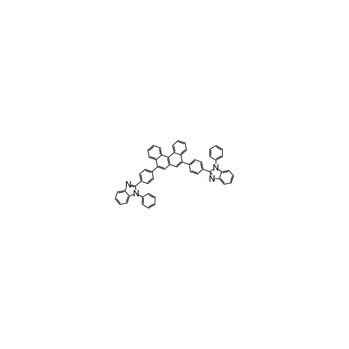 c1ccc(-n2c(-c3ccc(-c4cc5cc(-c6ccc(-c7nc8ccccc8n7-c7ccccc7)cc6)c6ccccc6c5c5ccccc45)cc3)nc3ccccc32)cc1